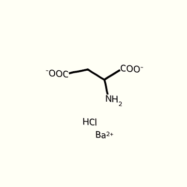 Cl.NC(CC(=O)[O-])C(=O)[O-].[Ba+2]